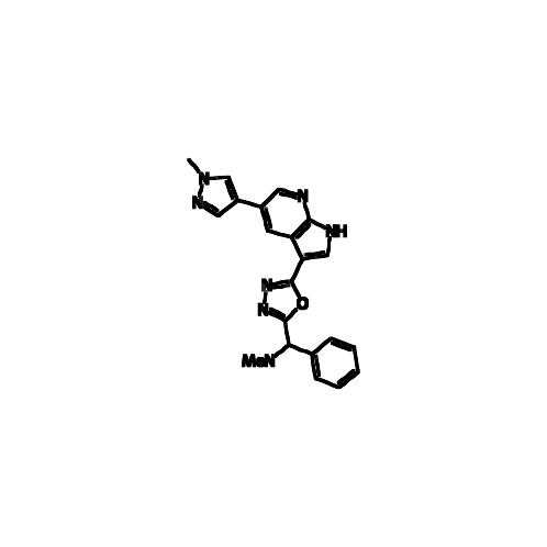 CNC(c1ccccc1)c1nnc(-c2c[nH]c3ncc(-c4cnn(C)c4)cc23)o1